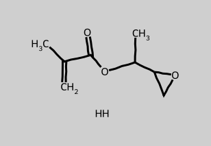 C=C(C)C(=O)OC(C)C1CO1.[HH]